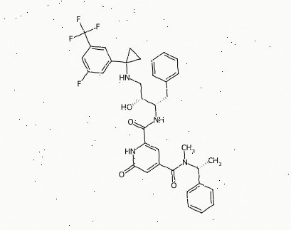 C[C@H](c1ccccc1)N(C)C(=O)c1cc(C(=O)N[C@@H](Cc2ccccc2)[C@H](O)CNC2(c3cc(F)cc(C(F)(F)F)c3)CC2)[nH]c(=O)c1